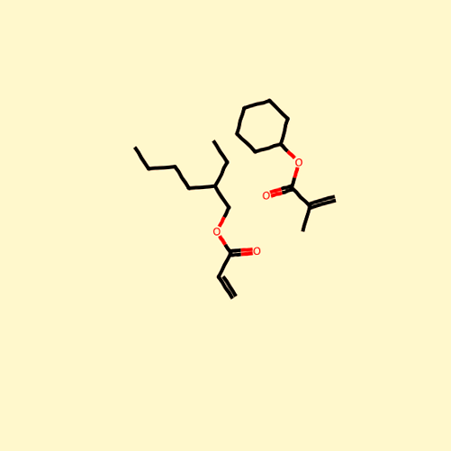 C=C(C)C(=O)OC1CCCCC1.C=CC(=O)OCC(CC)CCCC